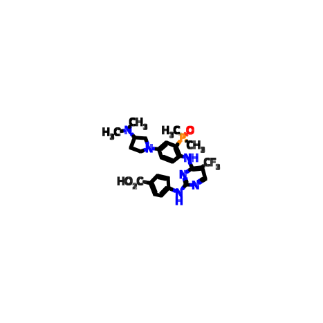 CN(C)C1CCN(c2ccc(Nc3nc(Nc4ccc(C(=O)O)cc4)ncc3C(F)(F)F)c(P(C)(C)=O)c2)C1